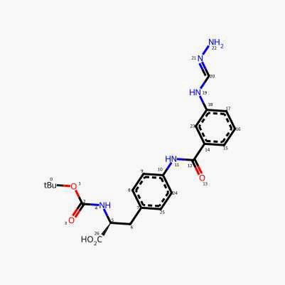 CC(C)(C)OC(=O)N[C@@H](Cc1ccc(NC(=O)c2cccc(NC=NN)c2)cc1)C(=O)O